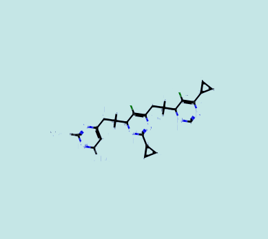 COC1=NC(CC(C)(C)C2NC(C3CC3)=NC(CC(C)(C)C3NC=NC(C4CC4)=C3Cl)=C2Cl)=CC(C(C)(C)C)N1